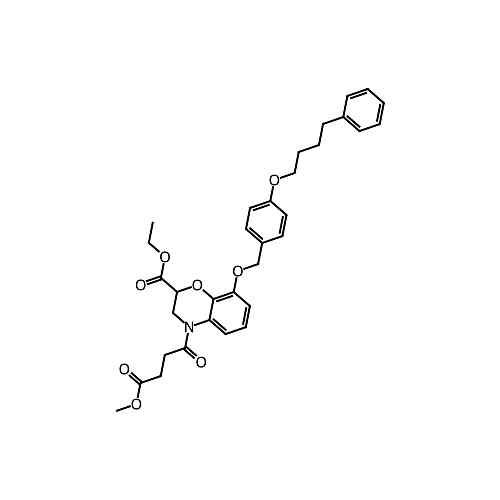 CCOC(=O)C1CN(C(=O)CCC(=O)OC)c2cccc(OCc3ccc(OCCCCc4ccccc4)cc3)c2O1